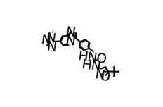 Cn1ncnc1-c1ccn2c(-c3ccc(CNC(=O)Nc4cc(C(C)(C)C)on4)cc3)cnc2c1